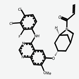 C=CC(=O)N1CC2C[C@H](Oc3cc4c(Nc5ccc(Cl)c(Cl)c5F)ncnc4cc3OC)C[C@@H]1C2